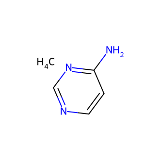 C.Nc1ccncn1